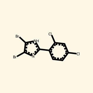 Clc1ccc(-c2nc(Br)c(Br)[nH]2)c(Cl)c1